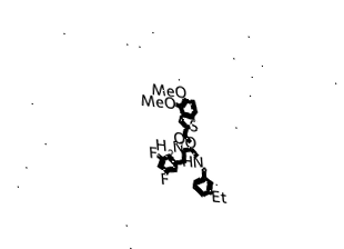 CCc1cccc(CNCC(OC(=O)c2cc3c(OC)c(OC)ccc3s2)C(N)Cc2cc(F)cc(F)c2)c1